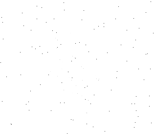 C=N/C=C(\C=N/CN(CC)CC1Nc2c(N3CCOCC3)nc(-c3ccc(OC)nc3)nc2N1C)C(=O)NO